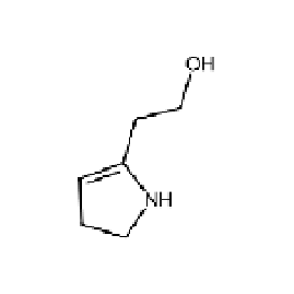 OCCC1=CCCN1